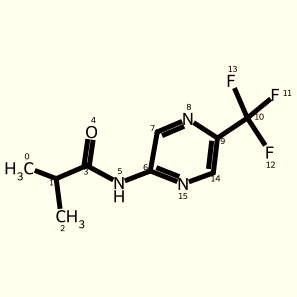 CC(C)C(=O)Nc1cnc(C(F)(F)F)cn1